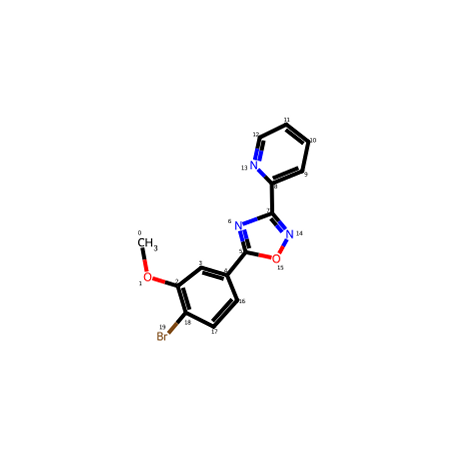 COc1cc(-c2nc(-c3ccccn3)no2)ccc1Br